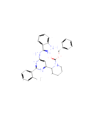 O=C(OCc1ccccc1)N1CCCCC1c1cc(Nc2n[nH]c3ccccc23)nc(-c2ccccc2C(F)(F)F)n1